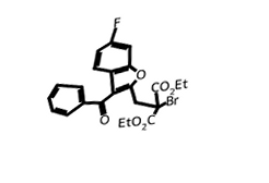 CCOC(=O)C(Br)(Cc1oc2cc(F)ccc2c1C(=O)c1ccccc1)C(=O)OCC